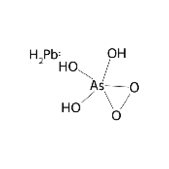 O[As]1(O)(O)OO1.[PbH2]